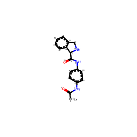 CCCCCCC(=O)Nc1ccc(NC(=O)C2NCc3ccccc32)cc1